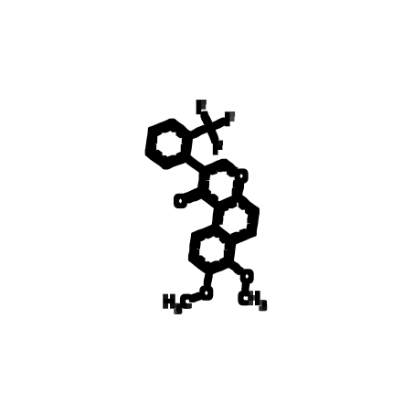 COc1ccc2c(ccc3occ(-c4ccccc4C(F)(F)F)c(=O)c32)c1OC